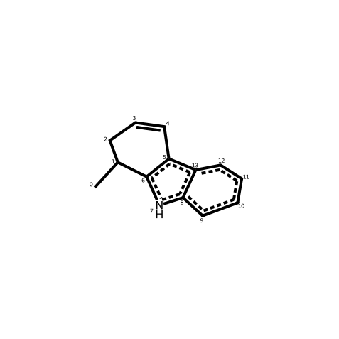 CC1CC=Cc2c1[nH]c1ccccc21